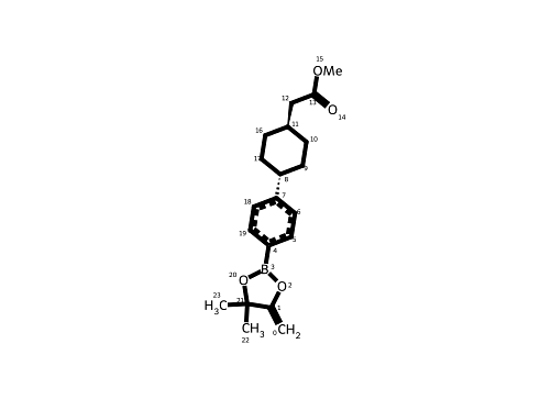 C=C1OB(c2ccc([C@H]3CC[C@H](CC(=O)OC)CC3)cc2)OC1(C)C